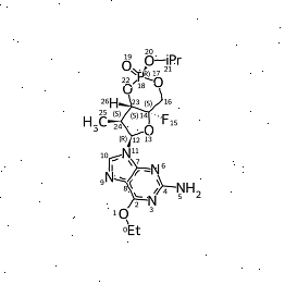 CCOc1nc(N)nc2c1ncn2[C@@H]1O[C@]2(F)CO[P@](=O)(OC(C)C)O[C@H]2[C@@H]1C